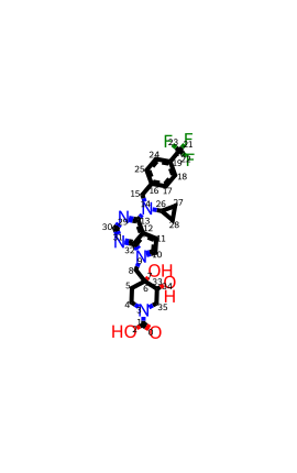 O=C(O)N1CCC(O)(Cn2ccc3c(N(Cc4ccc(C(F)(F)F)cc4)C4CC4)ncnc32)C(O)C1